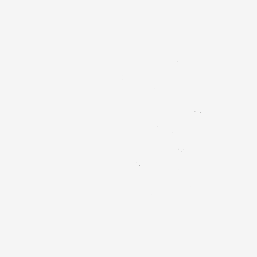 COc1ccc(CN2C(=O)C(CC(=O)O)OC(c3cccc(OC)c3OC)c3cc(Cl)ccc32)c(OC)c1